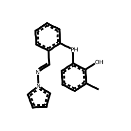 Cc1cccc(Pc2ccccc2/C=N/n2cccc2)c1O